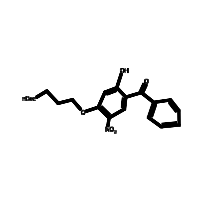 CCCCCCCCCCCCCOc1cc(O)c(C(=O)c2ccccc2)cc1[N+](=O)[O-]